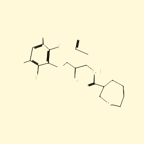 O=CC[C@H](NC(=O)C1CCCCNC1)C(O)COc1c(F)c(F)cc(F)c1F